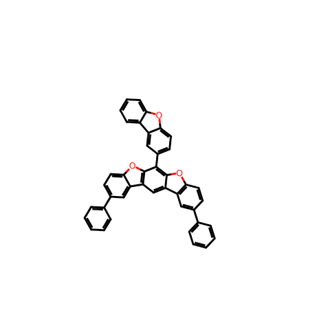 c1ccc(-c2ccc3oc4c(-c5ccc6oc7ccccc7c6c5)c5oc6ccc(-c7ccccc7)cc6c5cc4c3c2)cc1